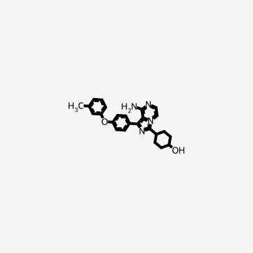 Cc1cccc(Oc2ccc(-c3nc(C4CCC(O)CC4)n4ccnc(N)c34)cc2)c1